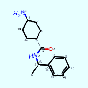 C[C@@H](NC(=O)[C@H]1CC[C@H](N)CC1)c1ccccc1